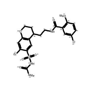 CCc1cc2c(cc1S(=O)(=O)NC(=O)NC)C(CCNC(=O)c1cc(Cl)ccc1OC)CCO2